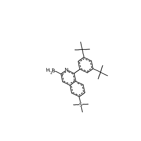 Bc1cc2cc(S(C)(C)C)ccc2c(-c2cc(C(C)(C)C)cc(C(C)(C)C)c2)n1